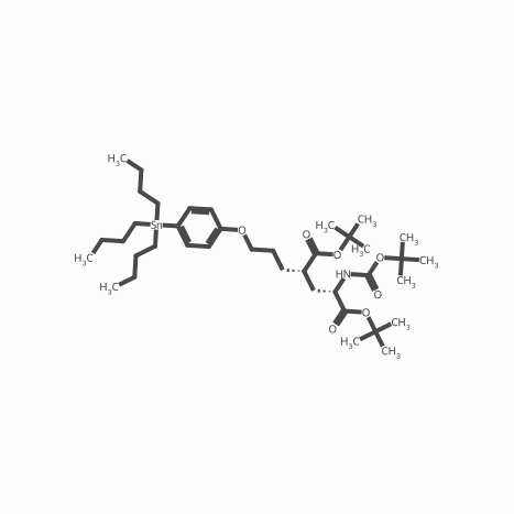 CCC[CH2][Sn]([CH2]CCC)([CH2]CCC)[c]1ccc(OCCC[C@@H](C[C@H](NC(=O)OC(C)(C)C)C(=O)OC(C)(C)C)C(=O)OC(C)(C)C)cc1